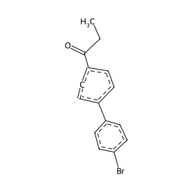 CCC(=O)c1ccc(-c2ccc(Br)cc2)cc1